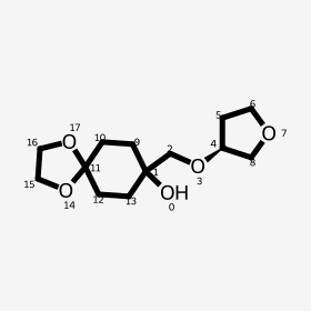 OC1(CO[C@H]2CCOC2)CCC2(CC1)OCCO2